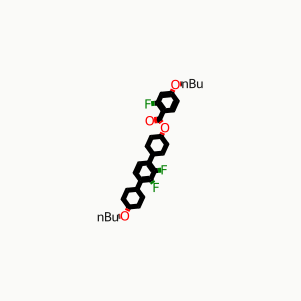 CCCCOc1ccc(C(=O)OC2CCC(c3ccc(C4CCC(OCCCC)CC4)c(F)c3F)CC2)c(F)c1